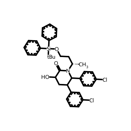 C[C@@H](CCO[Si](c1ccccc1)(c1ccccc1)C(C)(C)C)N1C(=O)C(O)CC(c2cccc(Cl)c2)C1c1ccc(Cl)cc1